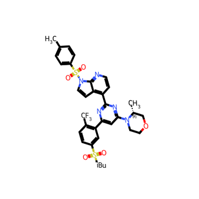 CCC(C)S(=O)(=O)c1ccc(C(F)(F)F)c(-c2cc(N3CCOC[C@H]3C)nc(-c3ccnc4c3ccn4S(=O)(=O)c3ccc(C)cc3)n2)c1